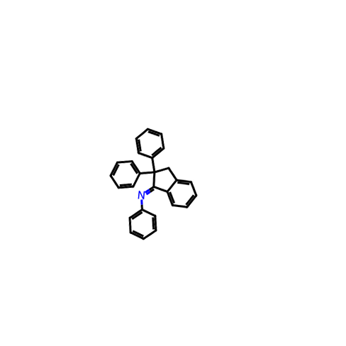 c1ccc(/N=C2\c3ccccc3CC2(c2ccccc2)c2ccccc2)cc1